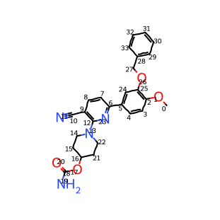 COc1ccc(-c2ccc(C#N)c(N3CCC(OC(N)=O)CC3)n2)cc1OCc1ccccc1